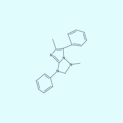 Cc1nc2n(c1-c1ccccc1)N(C)CN2c1ccccc1